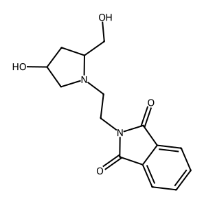 O=C1c2ccccc2C(=O)N1CCN1CC(O)CC1CO